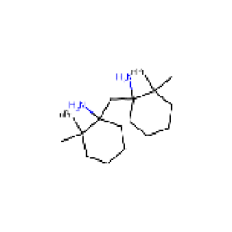 CCCC1(C)CCCCC1(N)CC1(N)CCCCC1(C)CCC